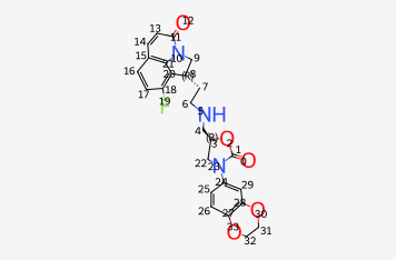 O=C1O[C@H](CNCC[C@H]2Cn3c(=O)ccc4ccc(F)c2c43)CN1c1ccc2c(c1)OCCO2